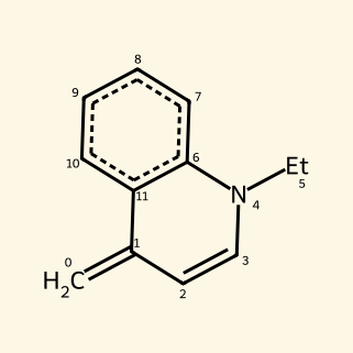 C=C1C=CN(CC)c2ccccc21